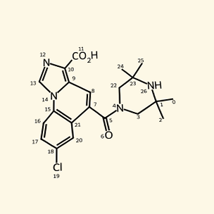 CC1(C)CN(C(=O)c2cc3c(C(=O)O)ncn3c3ccc(Cl)cc23)CC(C)(C)N1